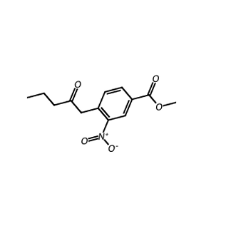 CCCC(=O)Cc1ccc(C(=O)OC)cc1[N+](=O)[O-]